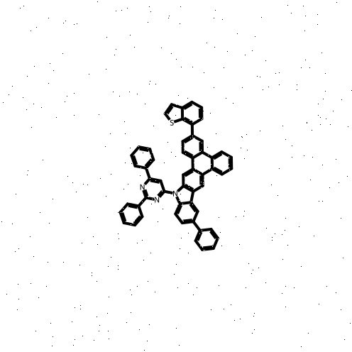 c1ccc(-c2ccc3c(c2)c2cc4c5ccccc5c5cc(-c6cccc7ccsc67)ccc5c4cc2n3-c2cc(-c3ccccc3)nc(-c3ccccc3)n2)cc1